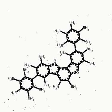 Bc1c(B)c(B)c(-c2c(B)c(B)c3[nH]c4c(c(B)c(B)c5sc6c(B)c(B)c(-c7c(B)c(B)c(B)c(B)c7B)c(B)c6c54)c3c2B)c(B)c1B